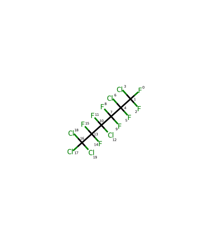 FC(F)(Cl)C(F)(Cl)C(F)(F)C(F)(Cl)C(F)(F)C(Cl)(Cl)Cl